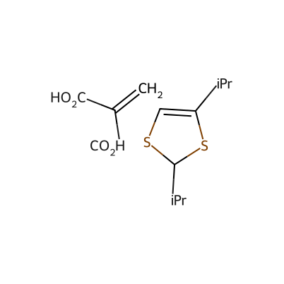 C=C(C(=O)O)C(=O)O.CC(C)C1=CSC(C(C)C)S1